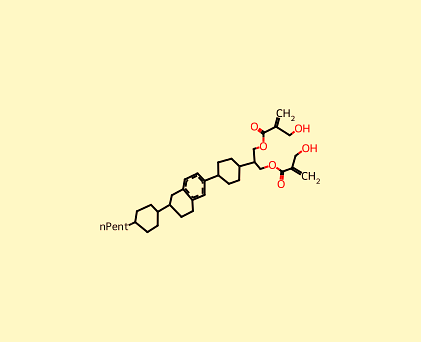 C=C(CO)C(=O)OCC(COC(=O)C(=C)CO)C1CCC(c2ccc3c(c2)CCC(C2CCC(CCCCC)CC2)C3)CC1